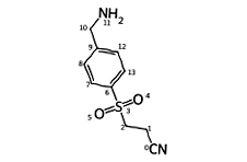 N#CCCS(=O)(=O)c1ccc(CN)cc1